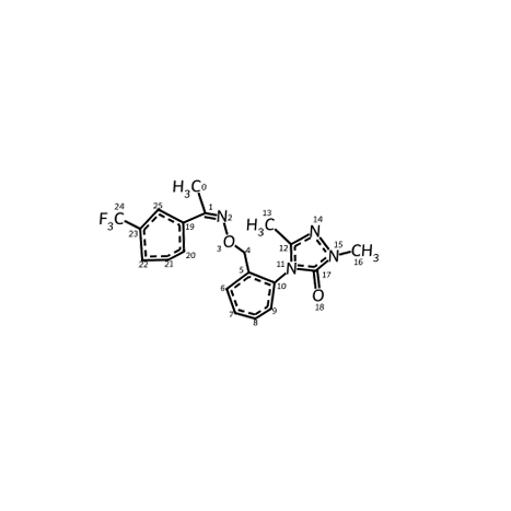 CC(=NOCc1ccccc1-n1c(C)nn(C)c1=O)c1cccc(C(F)(F)F)c1